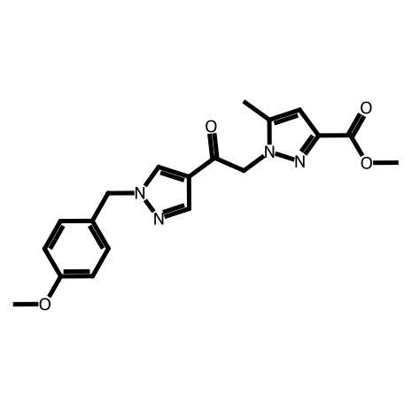 COC(=O)c1cc(C)n(CC(=O)c2cnn(Cc3ccc(OC)cc3)c2)n1